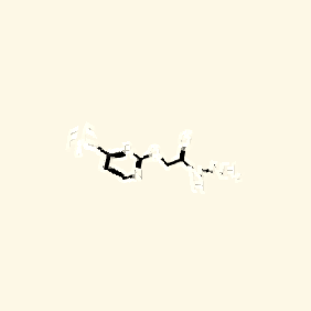 NNC(=O)COc1nccc(C(F)(F)F)p1